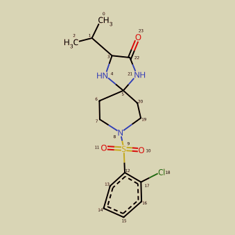 CC(C)C1NC2(CCN(S(=O)(=O)c3ccccc3Cl)CC2)NC1=O